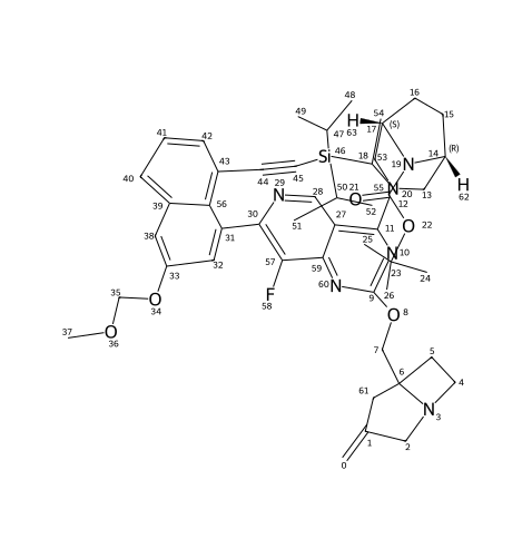 C=C1CN2CCC2(COc2nc(N3C[C@H]4CC[C@@H](C3)N4C(=O)OC(C)(C)C)c3cnc(-c4cc(OCOC)cc5cccc(C#C[Si](C(C)C)(C(C)C)C(C)C)c45)c(F)c3n2)C1